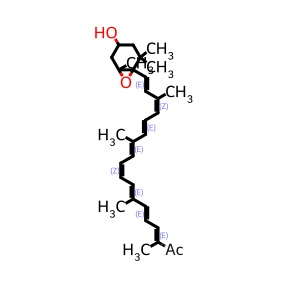 CC(=O)/C(C)=C/C=C/C(C)=C/C=C\C=C(C)\C=C\C=C(C)/C=C/C12OC1(C)CC(O)CC2(C)C